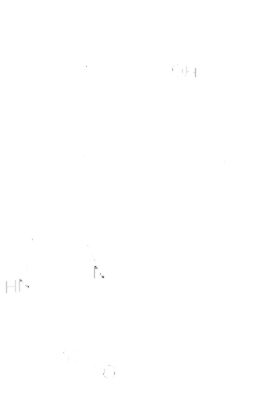 C[S+]([O-])c1nc(-c2cc(C(C)(C)C)c(O)c(C(C)(C)C)c2)c[nH]1